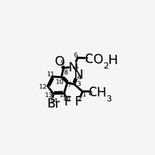 CC(F)c1nn(CC(=O)O)c(=O)c2ccc(Br)c(F)c12